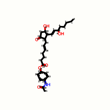 CCCCCC(O)C=CC1C(O)CC(=O)C1CC=CCCCC(=O)Oc1ccc(NC(C)=O)cc1